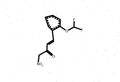 O=C(C=Cc1ccccc1OC(F)F)C[N+](=O)[O-]